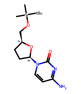 CC(C)(C)[Si](C)(C)OC[C@@H]1CC[C@H](n2ccc(N)nc2=O)O1